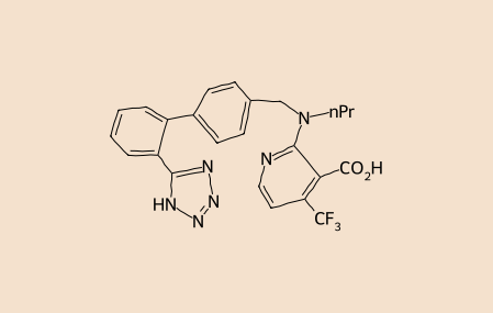 CCCN(Cc1ccc(-c2ccccc2-c2nnn[nH]2)cc1)c1nccc(C(F)(F)F)c1C(=O)O